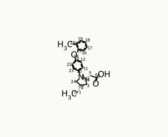 CC[C@H]1C[C@@H](CC(=O)O)N(c2ccc(Oc3ccccc3C)cc2)C1